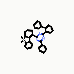 C[Si]1(C)c2ccccc2-c2c(-c3nc(-c4ccccc4)nc(-c4ccccc4-c4ccccc4)n3)cccc21